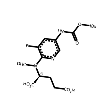 CC(C)(C)OC(=O)Nc1cnc(N(C=O)[C@@H](CCC(=O)O)C(=O)O)c(F)c1